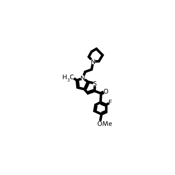 COc1ccc(C(=O)c2cc3cc(C)n(CCN4CCCCC4)c3s2)c(F)c1